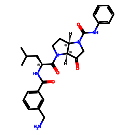 CC(C)C[C@H](NC(=O)c1cccc(CN)c1)C(=O)N1CC[C@@H]2[C@H]1C(=O)CN2C(=O)Nc1ccccc1